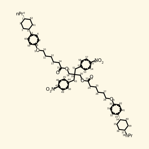 CCC[C@H]1CC[C@H](c2ccc(OCCCCCC(=O)OCC(COC(=O)CCCCCOc3ccc([C@H]4CC[C@H](CCC)CC4)cc3)(Cc3ccc([N+](=O)[O-])cc3)Cc3ccc([N+](=O)[O-])cc3)cc2)CC1